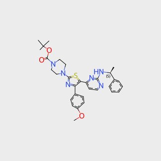 COc1ccc(-c2nc(N3CCN(C(=O)OC(C)(C)C)CC3)sc2-c2ccnc(N[C@@H](C)c3ccccc3)n2)cc1